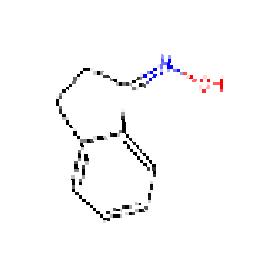 O/N=C1/CCc2c[c]ccc21